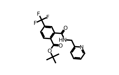 CC(C)(C)OC(=O)c1ccc(C(F)(F)F)cc1C(=O)NCc1ccccn1